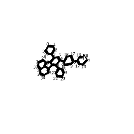 c1ccc(-c2cc(-c3ccc(-c4cccnc4)cc3)c(-c3ccccc3)c3c2-c2cccc4cccc-3c24)cc1